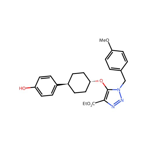 CCOC(=O)c1nnn(Cc2ccc(OC)cc2)c1O[C@H]1CC[C@H](c2ccc(O)cc2)CC1